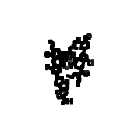 CCCN(CCC)C(=O)C1=Cc2c(Cl)cc(-c3ccc(C=O)c(/N=C\N(C)CC(=O)NNC4=Nc5cc(-c6ccc(C=O)c(/N=C\N(C)CC(=O)NC)c6)cc(F)c5C=C(C(=O)N(CCC)CCC)C4)c3)cc2N=C(N)C1